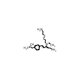 C\C=[N+](CCSSCCN)/C(=C\CP)/C=C/c1ccc(CN(C)C)cc1